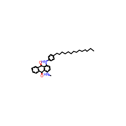 CCCCCCCCCCCCCCc1ccc(Nc2ccc(NC)c3c2C(=O)c2ccccc2C3=O)cc1